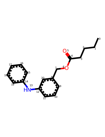 CCCCC(=O)OCc1cccc(Nc2ccccc2)c1